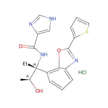 CC[C@@](NC(=O)c1c[nH]cn1)(c1cccc2nc(-c3cccs3)oc12)[C@H](C)O.Cl